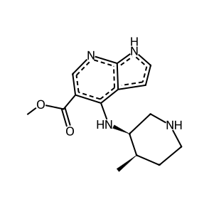 COC(=O)c1cnc2[nH]ccc2c1N[C@H]1CNCC[C@H]1C